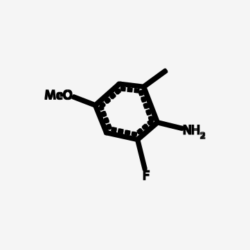 COc1cc(C)c(N)c(F)c1